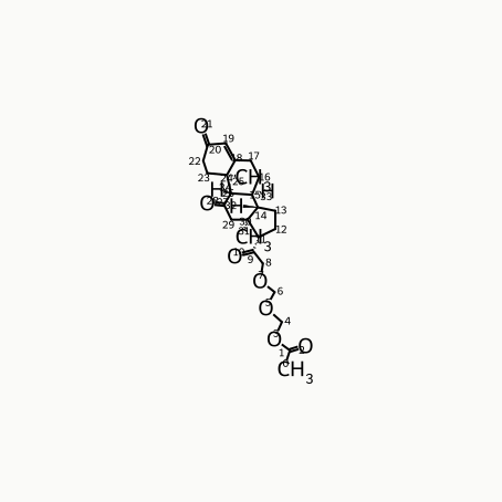 CC(=O)OCOCOCC(=O)[C@H]1CC[C@H]2[C@@H]3CCC4=CC(=O)CC[C@]4(C)[C@H]3C(=O)C[C@]12C